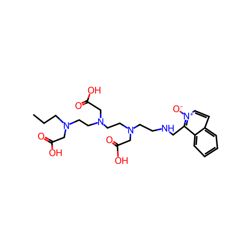 CCCN(CCN(CCN(CCNCc1c2ccccc2cc[n+]1[O-])CC(=O)O)CC(=O)O)CC(=O)O